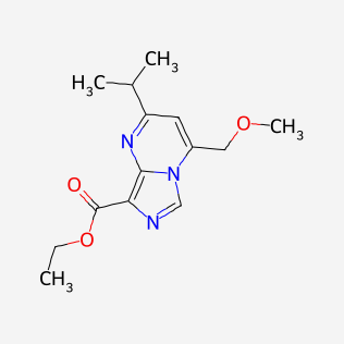 CCOC(=O)c1ncn2c(COC)cc(C(C)C)nc12